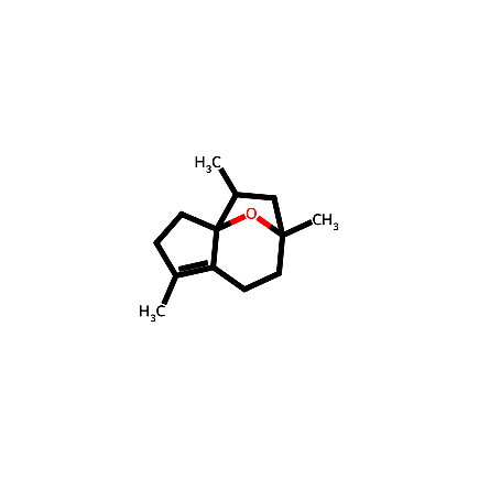 CC1=C2CCC3(C)CC(C)C2(CC1)O3